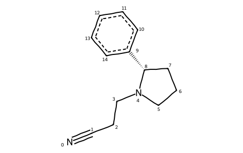 N#CCCN1CCC[C@H]1c1ccccc1